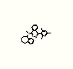 Cc1cc(C)c(-c2nnc(N(C)C3CCCCc4ccccc43)c3ccccc23)c(C)c1